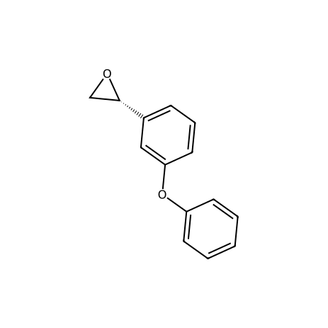 c1ccc(Oc2cccc([C@@H]3CO3)c2)cc1